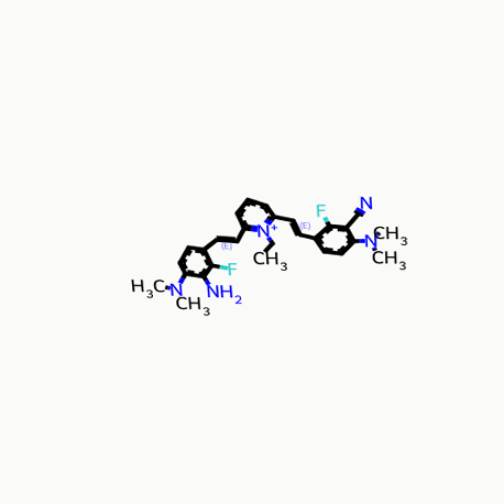 CC[n+]1c(/C=C/c2ccc(N(C)C)c(N)c2F)cccc1/C=C/c1ccc(N(C)C)c(C#N)c1F